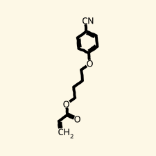 C=CC(=O)OCCCCOc1ccc(C#N)cc1